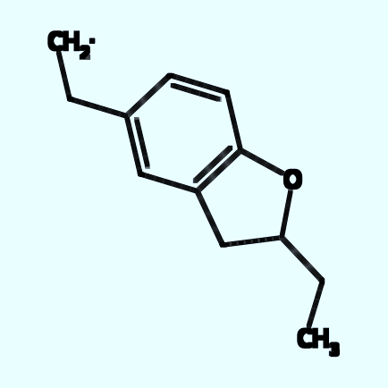 [CH2]Cc1ccc2c(c1)CC(CC)O2